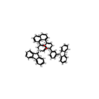 C1=CN(C2c3ccccc3-c3ccccc32)CC(c2cccc3cccc(-c4ccc(-c5cccc(-n6c7ccccc7c7ccccc76)c5)cc4)c23)=C1